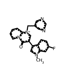 Cn1cc(-c2c[n+](Cc3cncnc3)c3ccccn3c2=O)c2ccc(F)cc21